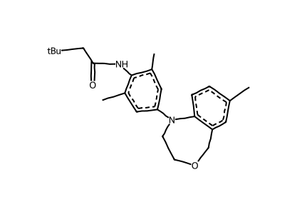 Cc1ccc2c(c1)COCCN2c1cc(C)c(NC(=O)CC(C)(C)C)c(C)c1